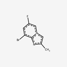 Cc1cn2cc(F)cc(Br)c2n1